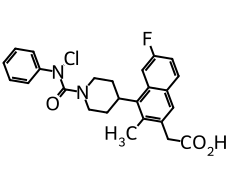 Cc1c(CC(=O)O)cc2ccc(F)cc2c1C1CCN(C(=O)N(Cl)c2ccccc2)CC1